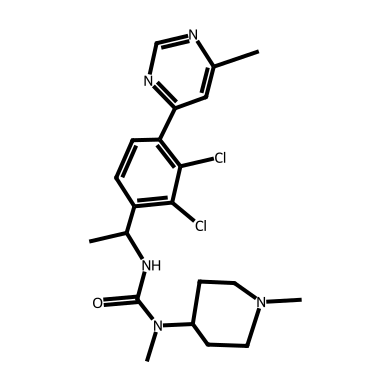 Cc1cc(-c2ccc(C(C)NC(=O)N(C)C3CCN(C)CC3)c(Cl)c2Cl)ncn1